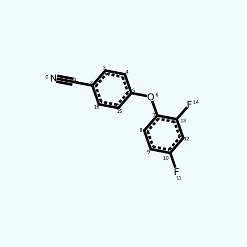 N#Cc1ccc(Oc2ccc(F)cc2F)cc1